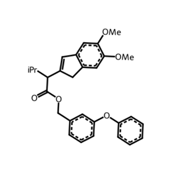 COc1cc2c(cc1OC)CC(C(C(=O)OCc1cccc(Oc3ccccc3)c1)C(C)C)=C2